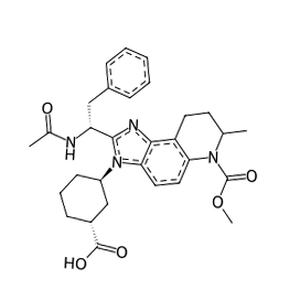 COC(=O)N1c2ccc3c(nc([C@@H](Cc4ccccc4)NC(C)=O)n3[C@@H]3CCC[C@@H](C(=O)O)C3)c2CCC1C